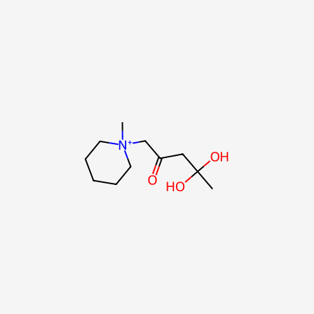 CC(O)(O)CC(=O)C[N+]1(C)CCCCC1